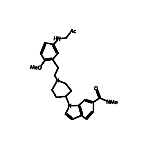 CNC(=O)c1ccc2ccn(C3CCN(CCc4cc(NCC(C)=O)ccc4OC)CC3)c2c1